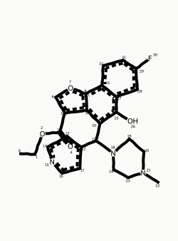 CCOC(=O)c1coc2c1c(C(c1ccncc1)N1CCN(C)CC1)c(O)c1cc(F)ccc12